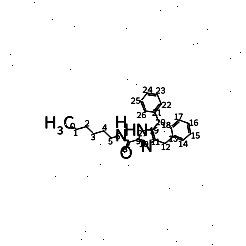 CCCCCCNC(=O)c1nc(Cc2ccccc2)c(Cc2ccccc2)[nH]1